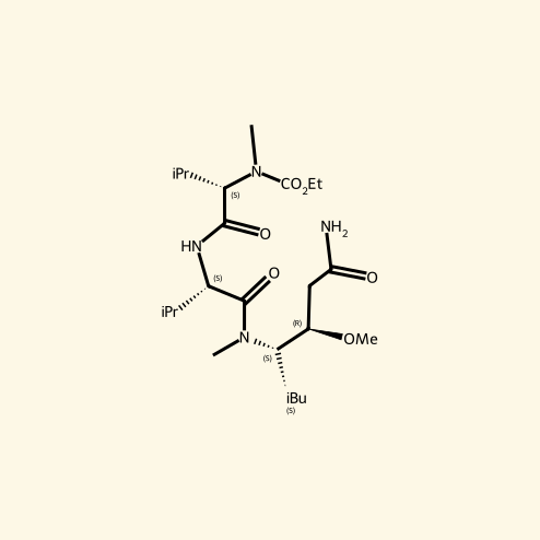 CCOC(=O)N(C)[C@H](C(=O)N[C@H](C(=O)N(C)[C@@H]([C@@H](C)CC)[C@@H](CC(N)=O)OC)C(C)C)C(C)C